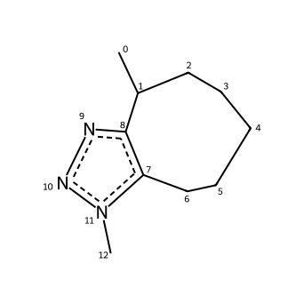 CC1CCCCCc2c1nnn2C